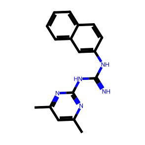 Cc1cc(C)nc(NC(=N)Nc2ccc3ccccc3c2)n1